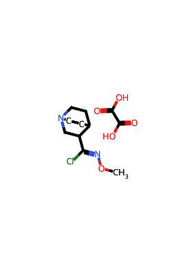 CON=C(Cl)C1CN2CCC1CC2.O=C(O)C(=O)O